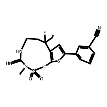 CN1C(=N)NCCC(F)(F)c2cc(-c3cccc(C#N)c3)sc2CS1(=O)=O